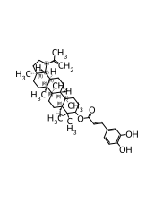 C=C(C)[C@@H]1CC[C@]2(C)CC[C@]3(C)[C@H](CC[C@@H]4[C@@]5(C)CCC(OC(=O)C=Cc6ccc(O)c(O)c6)C(C)(C)[C@@H]5CC[C@]43C)[C@@H]12